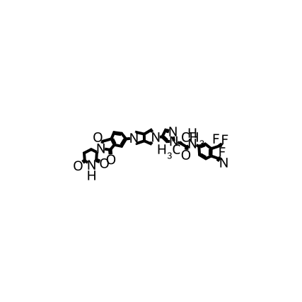 CC(C)(C(=O)Nc1ccc(C#N)c(C(F)(F)F)c1)n1cc(N2CC3CN(c4ccc5c(c4)C(=O)N(C4CCC(=O)NC4=O)C5=O)CC3C2)cn1